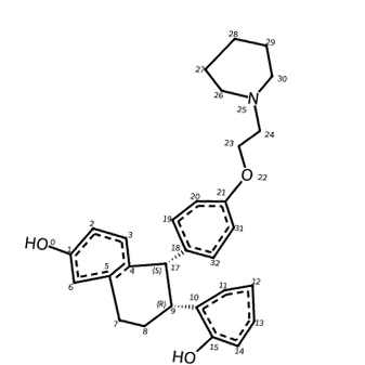 Oc1ccc2c(c1)CC[C@@H](c1ccccc1O)[C@H]2c1ccc(OCCN2CCCCC2)cc1